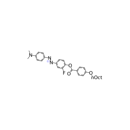 CCCCCCCCOc1ccc(C(=O)Oc2ccc(/N=N/c3ccc(N(C)C)cc3)cc2F)cc1